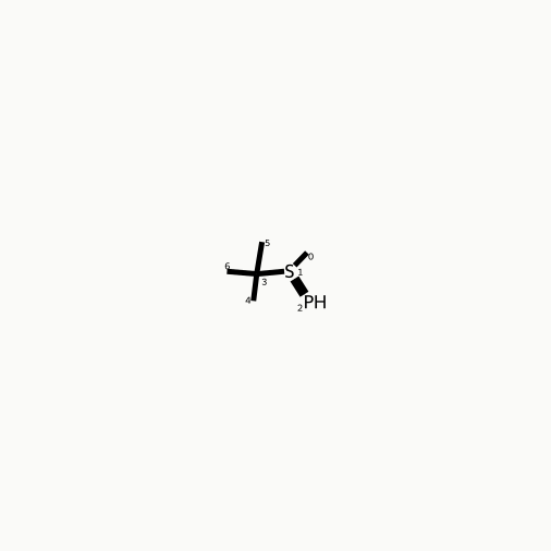 CS(=P)C(C)(C)C